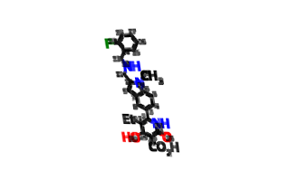 CCc1c(-c2ccc3c(c2)cc(CNCc2ccccc2F)n3C)[nH]c(=O)c(C(=O)O)c1O